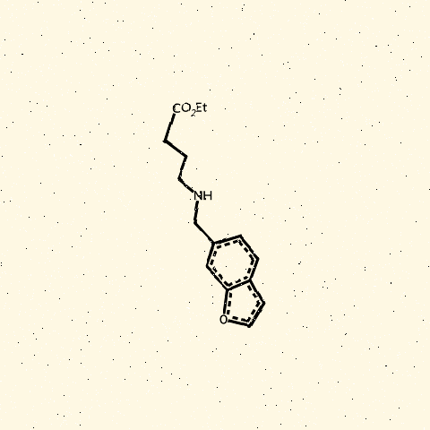 CCOC(=O)CCCNCc1ccc2ccoc2c1